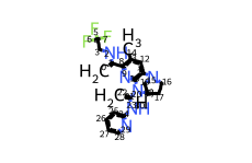 C=C(NCC(F)(F)F)c1nc2c(cc1C)N1CC[C@@H](C1)N2C(=C)Nc1ccccn1